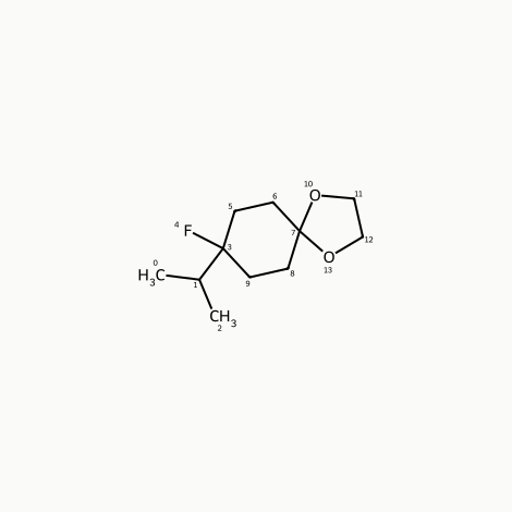 CC(C)C1(F)CCC2(CC1)OCCO2